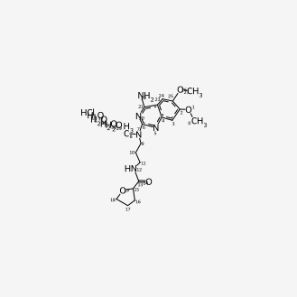 COc1cc2nc(N(C)CCCNC(=O)C3CCCO3)nc(N)c2cc1OC.Cl.O.O.O.O